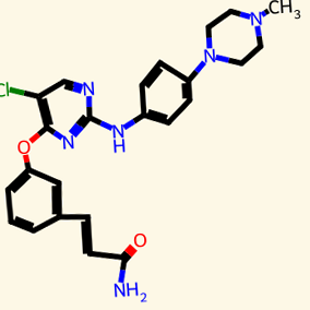 CN1CCN(c2ccc(Nc3ncc(Cl)c(Oc4cccc(C=CC(N)=O)c4)n3)cc2)CC1